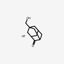 F.O=C1C2CC3CC1CC(CO)(C3)C2